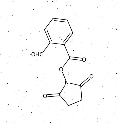 O=[C]c1ccccc1C(=O)ON1C(=O)CCC1=O